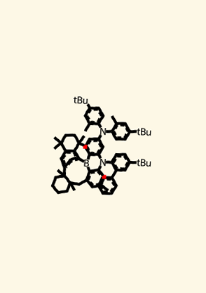 Cc1cc2c3c(c1)N(c1ccc(C(C)(C)C)cc1-c1ccccc1)c1cc(N(c4ccc(C(C)(C)C)cc4C)c4ccc(C(C)(C)C)cc4C)ccc1B3c1cc(cc3c1C(C)(C)CCC3(C)C)C1(C)CCCCC1(C)C2